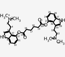 CN(C)CCc1c[nH]c2cccc(OC(=O)CCCCC(=O)Oc3cccc4[nH]cc(CCN(C)C)c34)c12